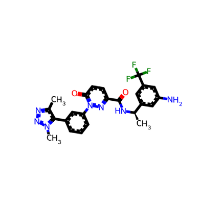 Cc1nnn(C)c1-c1cccc(-n2nc(C(=O)N[C@H](C)c3cc(N)cc(C(F)(F)F)c3)ccc2=O)c1